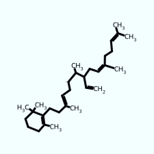 C=CC(CC=C(C)CCC=C(C)C)C(C)[CH]CC=C(C)CCC1=C(C)CCCC1(C)C